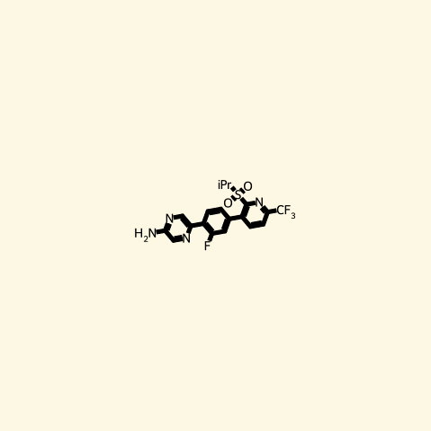 CC(C)S(=O)(=O)c1nc(C(F)(F)F)ccc1-c1ccc(-c2cnc(N)cn2)c(F)c1